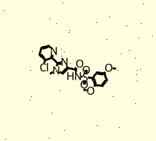 COc1ccc(OC)c(S(=O)(=O)NC(=O)c2cn(C)c(-c3ncccc3Cl)n2)c1